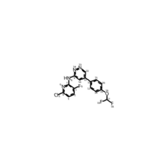 Fc1ccc(Cl)nc1Nc1cc(-c2ccc(OC(F)F)cc2)cnn1